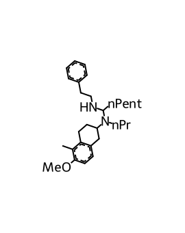 CCCCCC(NCCc1ccccc1)N(CCC)C1CCc2c(ccc(OC)c2C)C1